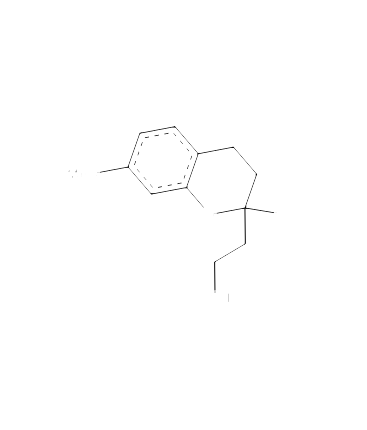 COc1ccc2c(c1)OC(C)(CCO)CC2